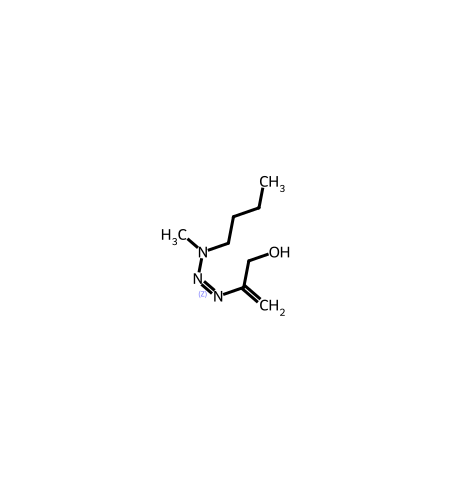 C=C(CO)/N=N\N(C)CCCC